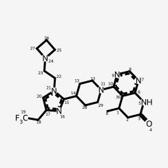 CC1CC(=O)Nc2ncnc(N3CCC(c4nc(CC(F)(F)F)cn4CCN4CCC4)CC3)c21